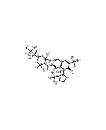 [2H]C(F)(F)c1cc2cnc(NC3C([2H])([2H])CN(S(=O)(=O)C([2H])([2H])[2H])CC3([2H])[2H])nc2n([C@H]2CCC[C@@]2(O)C([2H])([2H])[2H])c1=O